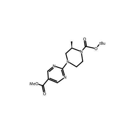 COC(=O)c1cnc(N2CCN(C(=O)OC(C)(C)C)[C@H](C)C2)nc1